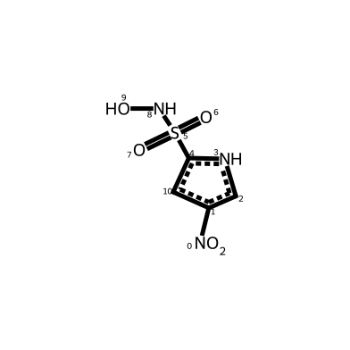 O=[N+]([O-])c1c[nH]c(S(=O)(=O)NO)c1